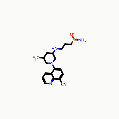 N#Cc1ccc(N2CC(NCCC[S+](N)[O-])CC(C(F)(F)F)C2)c2cccnc12